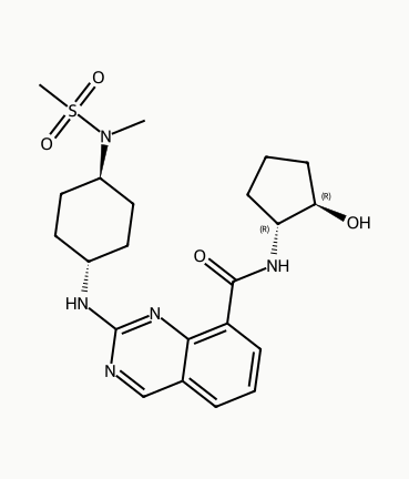 CN([C@H]1CC[C@H](Nc2ncc3cccc(C(=O)N[C@@H]4CCC[C@H]4O)c3n2)CC1)S(C)(=O)=O